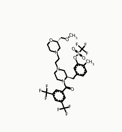 COC[C@@H]1CN(CCN2CCN(C(=O)c3cc(C(F)(F)F)cc(C(F)(F)F)c3)[C@H](Cc3ccc(C)c(OS(=O)(=O)C(F)(F)F)c3)C2)CCO1